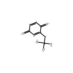 O=C1C=CC(=O)C(CC(Cl)(Cl)Cl)=C1